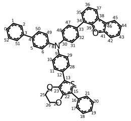 c1ccc(-c2ccc(N(c3ccc(-c4sc(-c5ccccc5)c5c4OCCO5)cc3)c3ccc(-c4cccc5c4oc4ccccc45)cc3)cc2)cc1